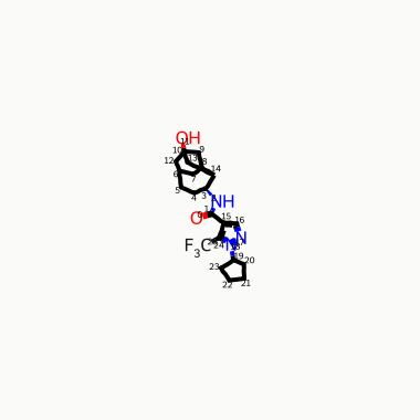 O=C(N[C@H]1CCC2CC3CC(O)(C2)CC31)c1cnn(C2CCCC2)c1C(F)(F)F